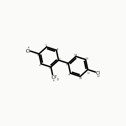 FC(F)(F)c1cc(Cl)c[c]c1-c1ccc(Cl)cc1